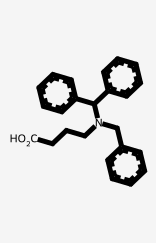 O=C(O)CCCN(Cc1ccccc1)C(c1ccccc1)c1ccccc1